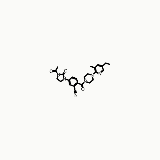 CCc1cnc(N2CCN(C(=O)c3ccc(N4CCN(C(C)=O)C4=O)cc3C#N)CC2)c(C)c1